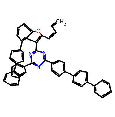 C=C/C=C\c1oc2cccc(-c3ccc(-c4ccccc4)cc3)c2c1-c1nc(-c2ccccc2)nc(-c2ccc(-c3ccc(-c4ccccc4)cc3)cc2)n1